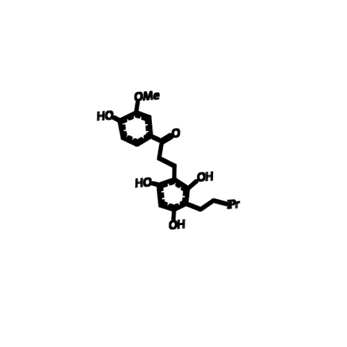 COc1cc(C(=O)CCc2c(O)cc(O)c(CCC(C)C)c2O)ccc1O